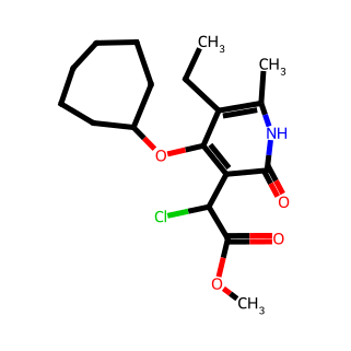 CCc1c(C)[nH]c(=O)c(C(Cl)C(=O)OC)c1OC1CCCCCC1